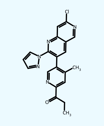 CCC(=O)c1cc(C)c(-c2cc3cnc(Cl)cc3nc2-n2cccn2)cn1